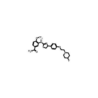 NC(=O)c1ccc(OC(F)(F)F)c(NC2=NC(c3ccc(OCCN4CCC(F)CC4)cc3)CS2)c1